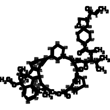 C=CC(=O)N1COC2(CCN(C(=O)N(C)[C@H](C(=O)NC3CN4CCC=C(C4)c4ccc5c(c4)c(c(-c4cccnc4[C@H](C)OC)n5CC)CC(C)(C)COC(=O)[C@@H]4CCCN(N4)C3=O)C(C)C)CC2)C1